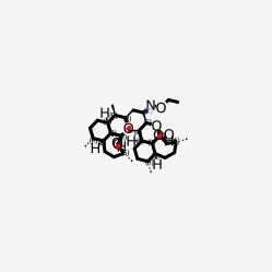 CCO/N=C(/C[C@H]1O[C@@H]2C[C@]3(C)CC[C@H]4[C@H](C)CC[C@@H]([C@H]1C)[C@@]24OO3)[C@H]1O[C@@H]2C[C@]3(C)CC[C@H]4[C@H](C)CC[C@@H]([C@H]1C)[C@@]24OO3